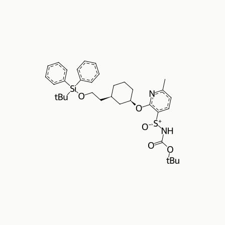 Cc1ccc([S@@+]([O-])NC(=O)OC(C)(C)C)c(O[C@@H]2CCC[C@H](CCO[Si](c3ccccc3)(c3ccccc3)C(C)(C)C)C2)n1